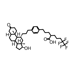 C[C@]12CCC(=O)C[C@@H]1CC[C@@H]1[C@@H]2[C@@H](CCCc2ccc(CCCC(CCCC(F)(F)C(F)(F)F)C(=O)O)cc2)C[C@]2(C)[C@@H](O)CC[C@@H]12